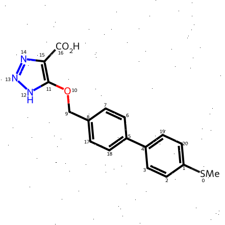 CSc1ccc(-c2ccc(COc3[nH]nnc3C(=O)O)cc2)cc1